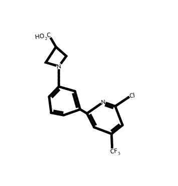 O=C(O)C1CN(c2cccc(-c3cc(C(F)(F)F)cc(Cl)n3)c2)C1